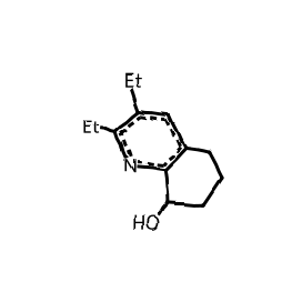 CCc1cc2c(nc1CC)C(O)CCC2